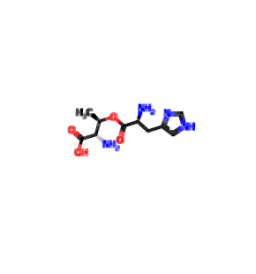 C[C@@H](OC(=O)[C@@H](N)Cc1c[nH]cn1)[C@H](N)C(=O)O